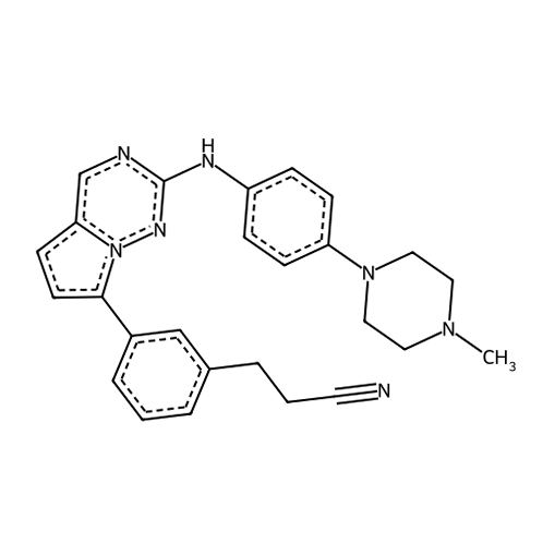 CN1CCN(c2ccc(Nc3ncc4ccc(-c5cccc(CCC#N)c5)n4n3)cc2)CC1